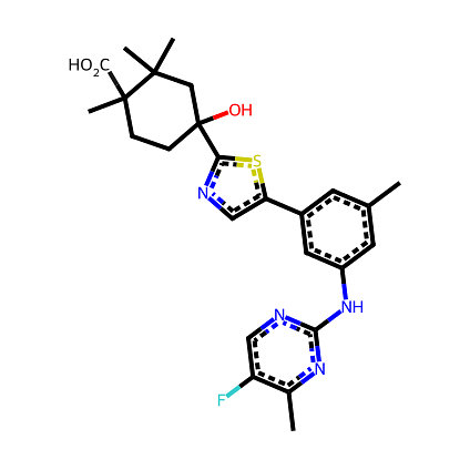 Cc1cc(Nc2ncc(F)c(C)n2)cc(-c2cnc(C3(O)CCC(C)(C(=O)O)C(C)(C)C3)s2)c1